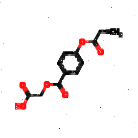 C=CC(=O)Oc1ccc(C(=O)OCC(=O)O)cc1